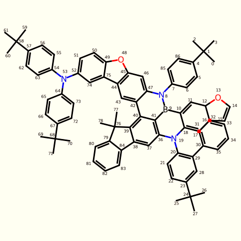 CC(C)(C)c1ccc(N2B3C4=CC5OC=CC5C=C4N(c4ccc(C(C)(C)C)cc4-c4ccccc4)c4cc5c(c(c43)-c3cc4c(cc32)oc2ccc(N(c3ccc(C(C)(C)C)cc3)c3ccc(C(C)(C)C)cc3)cc24)C(C)(C)c2ccccc2-5)cc1